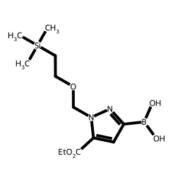 CCOC(=O)c1cc(B(O)O)nn1COCC[Si](C)(C)C